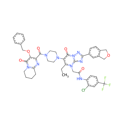 CCc1c(N2CCN(C(=O)c3nc4n(c(=O)c3OCc3ccccc3)CCCC4)CC2)c(=O)n2nc(-c3ccc4c(c3)COC4)nc2n1CC(=O)Nc1ccc(C(F)(F)F)cc1Cl